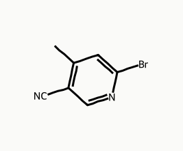 Cc1cc(Br)ncc1C#N